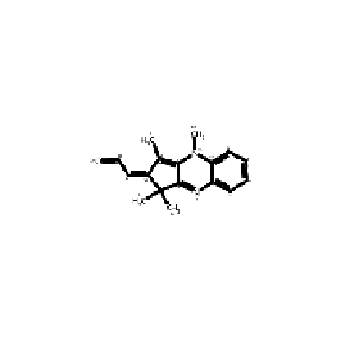 CC1=C2C(=Nc3ccccc3N2C)C(C)(C)C1=CC=O